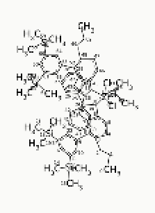 CCCc1ccc2c(c1-c1cc([Si](C)(C)C)cc([Si](C)(C)C)c1)C=C(c1ccccc1)[CH]2[Zr]([Cl])([Cl])([CH]1C(c2ccccc2)=Cc2c1ccc(CCC)c2-c1cc([Si](C)(C)C)cc([Si](C)(C)C)c1)[SiH](C)C